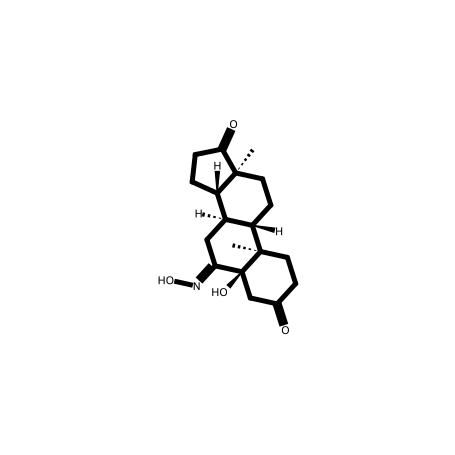 C[C@]12CC[C@H]3[C@@H](CC(=NO)[C@@]4(O)CC(=O)CC[C@]34C)[C@@H]1CCC2=O